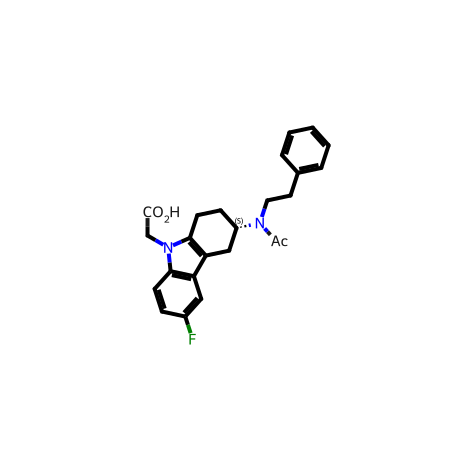 CC(=O)N(CCc1ccccc1)[C@H]1CCc2c(c3cc(F)ccc3n2CC(=O)O)C1